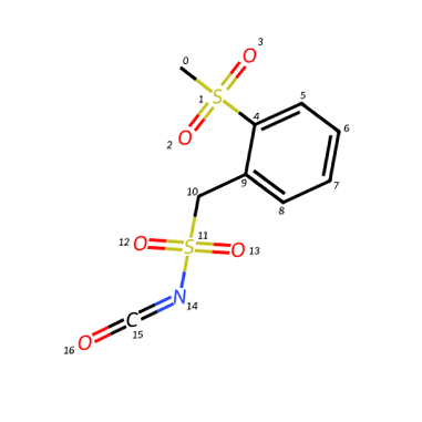 CS(=O)(=O)c1ccccc1CS(=O)(=O)N=C=O